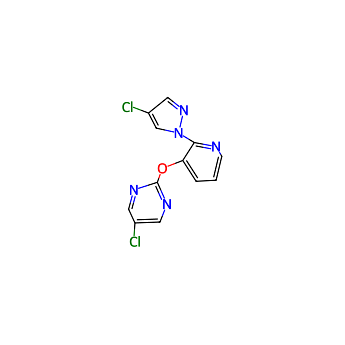 Clc1cnc(Oc2cccnc2-n2cc(Cl)cn2)nc1